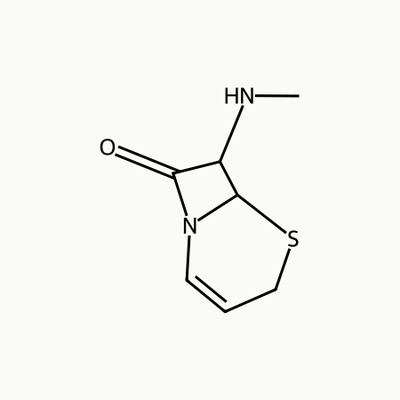 CNC1C(=O)N2C=CCSC12